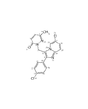 Cc1ccc(=O)n(Cc2c(-c3ccc(Cl)cc3)nc3ccc(Cl)cn23)n1